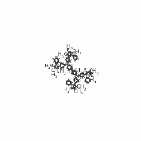 Cc1c(C)c(-c2ccc(N(c3ccc(-c4ccc(N(c5ccc(-c6c(C)c(C)c(C)n6-c6ccccc6)cc5)c5ccc(-c6c(C)c(C)c(C)n6-c6ccccc6)cc5)cc4)cc3)c3ccc(-c4c(C)c(C)c(C)n4-c4ccccc4)cc3)cc2)n(-c2ccccc2)c1C